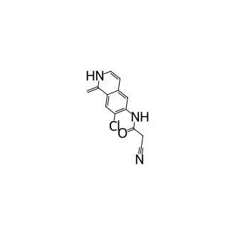 C=C1NC=Cc2cc(NC(=O)CC#N)c(Cl)cc21